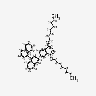 CCCCCCCCOC(=O)c1ccccc1C(=O)OCCCCCCCC.c1ccc2c(-c3cccc4ccccc34)cccc2c1